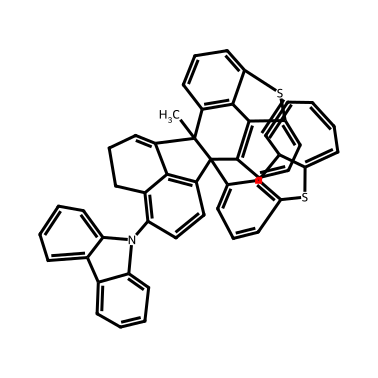 CC12C3=CCCc4c(-n5c6ccccc6c6ccccc65)ccc(c43)C1(c1cccc3c1C1C#CC=CC=C1S3)c1cccc3sc4cccc2c4c13